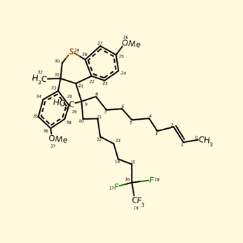 CC=CCCCCCCC(CCCCCCC(F)(F)C(F)(F)F)(C(=O)O)C1c2ccc(OC)cc2SCC1(C)c1ccc(OC)cc1